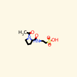 CC(=O)N1CCCC1C(=O)NCCS(=O)(=O)O